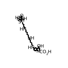 O=C1N[C@H]2[C@H](CS[C@H]2CCCCCNCCCCCCNCCCCCCNc2ccc3nc(C(=O)O)cc(O)c3c2)N1